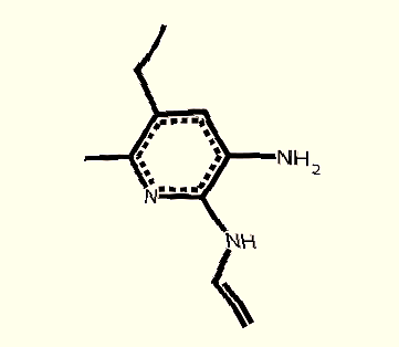 C=CNc1nc(C)c(CC)cc1N